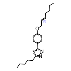 CCCC/C=C/COc1ccc(-c2nnc(CCCCC)s2)cc1